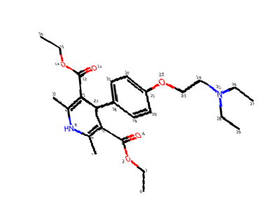 CCOC(=O)C1=C(C)NC(C)=C(C(=O)OCC)C1c1ccc(OCCN(CC)CC)cc1